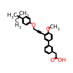 COc1ccc(-c2cccc(CC(=O)O)c2)cc1C#CCOc1ccc(C(C)(C)C)cc1